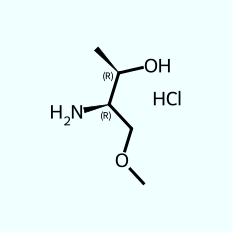 COC[C@@H](N)[C@@H](C)O.Cl